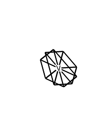 [CH]12[CH]3[CH]4[CH]5[CH]1[V]23451678[CH]2[CH]1[CH]6[CH]7[CH]28